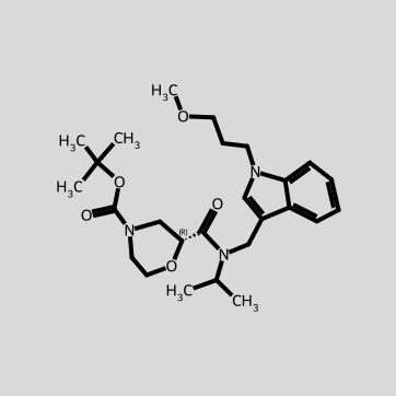 COCCCn1cc(CN(C(=O)[C@H]2CN(C(=O)OC(C)(C)C)CCO2)C(C)C)c2ccccc21